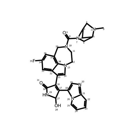 CN1CC2CC1CN2C(=O)N1CCn2cc(C3=C(c4cnc5ccccn45)C(O)NC3=O)c3cc(F)cc(c32)C1